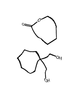 O=C1CCCCCO1.OCC1(CO)CCCCC1